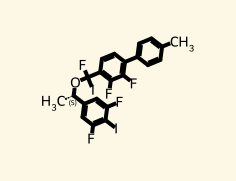 Cc1ccc(-c2ccc(C(F)(I)O[C@@H](C)c3cc(F)c(I)c(F)c3)c(F)c2F)cc1